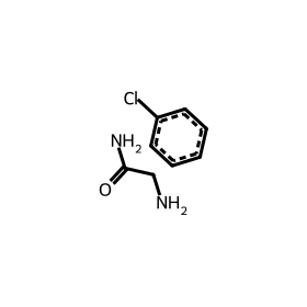 Clc1ccccc1.NCC(N)=O